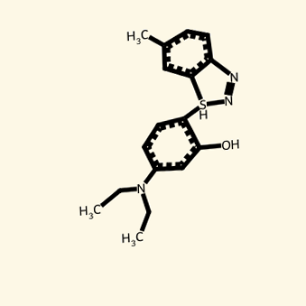 CCN(CC)c1ccc([SH]2N=Nc3ccc(C)cc32)c(O)c1